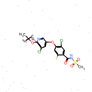 [2H]C(C)(C)Oc1ncc(Oc2cc(F)c(C(=O)NS(C)(=O)=O)cc2Cl)cc1Cl